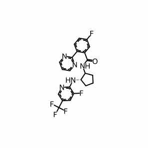 O=C(NC1CCC[C@@H]1Nc1ncc(C(F)(F)F)cc1F)c1cc(F)ccc1-c1ncccn1